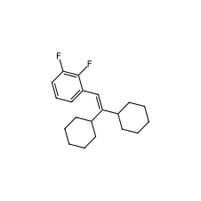 Fc1cccc(C=C(C2CCCCC2)C2CCCCC2)c1F